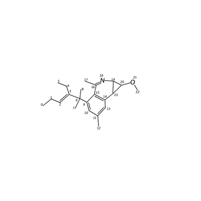 CC/C=C(\CC)C(C)(C)c1cc(C)cc2c1C(C)=NC1C(OC)C21